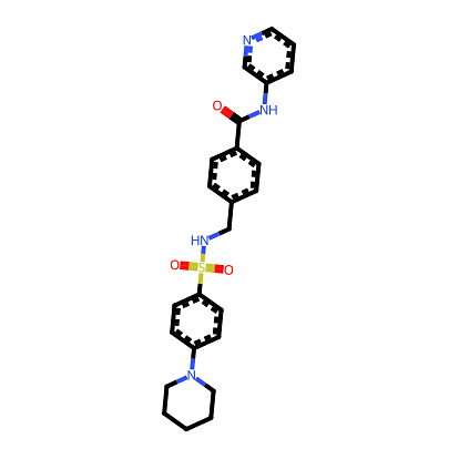 O=C(Nc1cccnc1)c1ccc(CNS(=O)(=O)c2ccc(N3CCCCC3)cc2)cc1